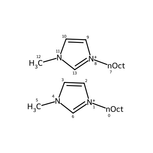 CCCCCCCC[n+]1ccn(C)c1.CCCCCCCC[n+]1ccn(C)c1